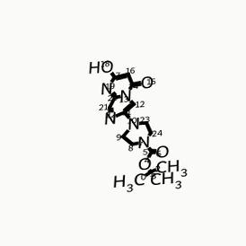 CC(C)(C)OC(=O)N1CCN(c2cn3c(=O)cc(O)nc3cn2)CC1